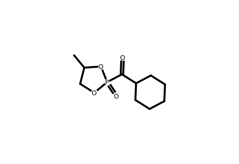 CC1COP(=O)(C(=O)C2CCCCC2)O1